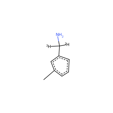 [2H]C([2H])(N)c1cccc(C)c1